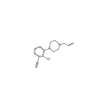 C=CCN1CCN(c2cccc(C#N)c2Cl)CC1